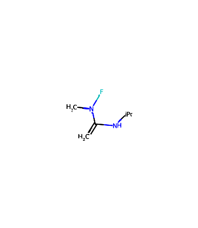 C=C(NC(C)C)N(C)F